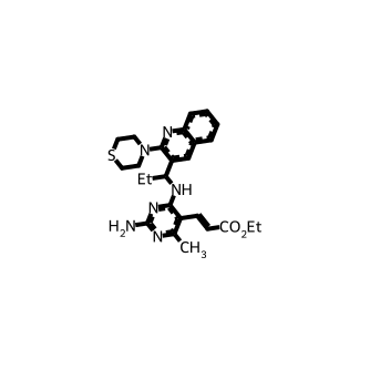 CCOC(=O)/C=C/c1c(C)nc(N)nc1NC(CC)c1cc2ccccc2nc1N1CCSCC1